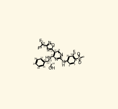 CS(=O)(=O)c1ccc(Nc2ncc(-c3nc(C(F)F)no3)c(N[C@H](CO)c3ccccc3)n2)cc1F